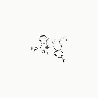 C/C(Cl)=C/c1cc(F)ccc1CNc1ccccc1C(C)C